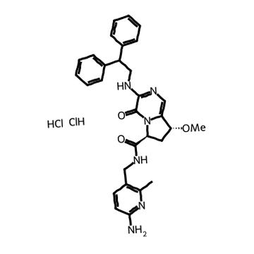 CO[C@@H]1C[C@@H](C(=O)NCc2ccc(N)nc2C)n2c1cnc(NCC(c1ccccc1)c1ccccc1)c2=O.Cl.Cl